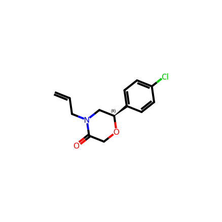 C=CCN1C[C@@H](c2ccc(Cl)cc2)OCC1=O